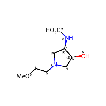 COCCN1C[C@H](O)[C@H](NC(=O)O)C1